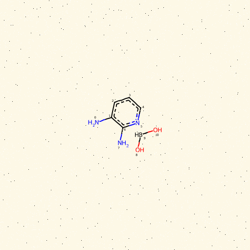 Nc1cccnc1N.OBO